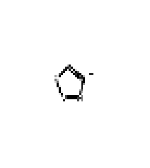 I.c1csnn1